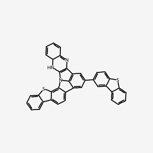 C1=CC2=Nc3c(n4c5c3cc(-c3ccc6sc7ccccc7c6c3)cc5c3ccc5c6ccccc6sc5c34)NC2C=C1